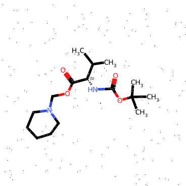 CC(C)[C@H](NC(=O)OC(C)(C)C)C(=O)OCN1CCCCC1